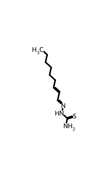 CCCCCCC=CC=NNC(N)=S